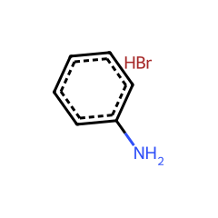 Br.Nc1ccccc1